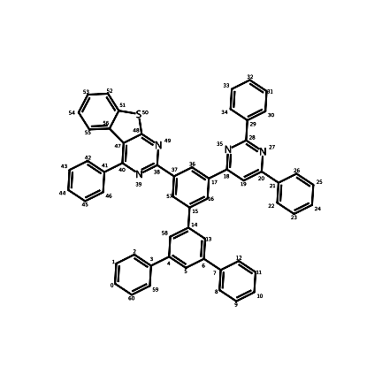 c1ccc(-c2cc(-c3ccccc3)cc(-c3cc(-c4cc(-c5ccccc5)nc(-c5ccccc5)n4)cc(-c4nc(-c5ccccc5)c5c(n4)sc4ccccc45)c3)c2)cc1